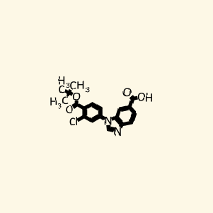 CC(C)(C)OC(=O)c1ccc(-n2cnc3ccc(C(=O)O)cc32)cc1Cl